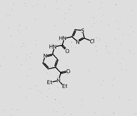 CCN(CC)C(=O)c1ccnc(NC(=O)Nc2csc(Cl)n2)c1